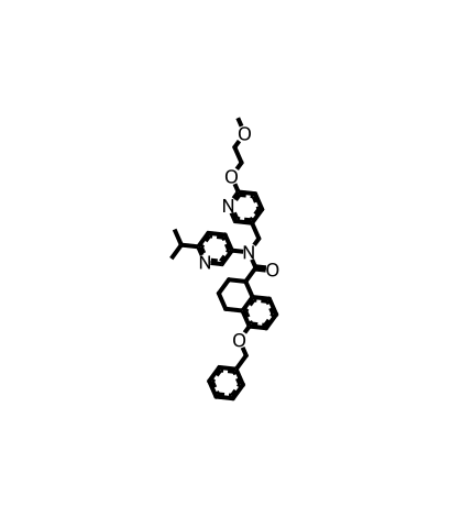 COCCOc1ccc(CN(C(=O)C2CCCc3c(OCc4ccccc4)cccc32)c2ccc(C(C)C)nc2)cn1